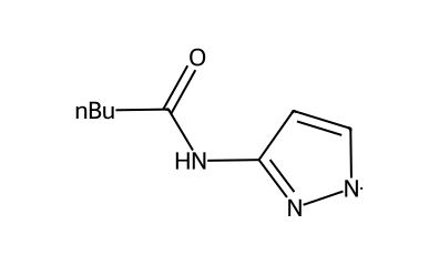 CCCCC(=O)NC1=N[N]C=C1